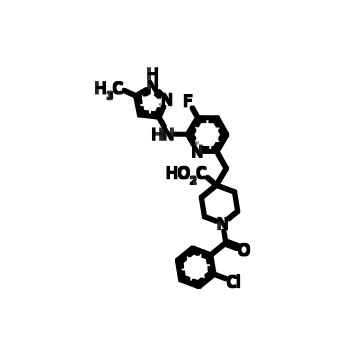 Cc1cc(Nc2nc(CC3(C(=O)O)CCN(C(=O)c4ccccc4Cl)CC3)ccc2F)n[nH]1